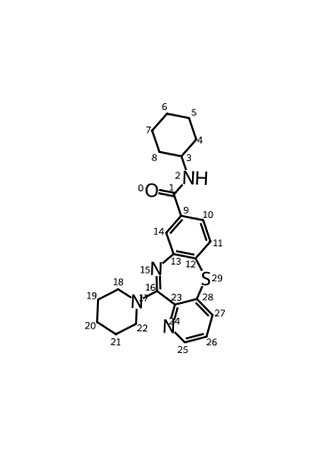 O=C(NC1CCCCC1)c1ccc2c(c1)N=C(N1CCCCC1)c1ncccc1S2